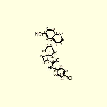 N#Cc1ccc2nccc([C@H]3CC[C@]4(CC[C@@H]4C(=O)Nc4ccc(Cl)cc4)CC3)c2c1